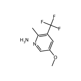 COc1cnc(C)c(C(F)(F)F)c1.N